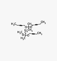 CCC#CCOC(C)(C)OC.CCC#CCOC(C)(C)OCC#CCC